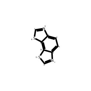 c1nc2ccc3ncsc3c2s1